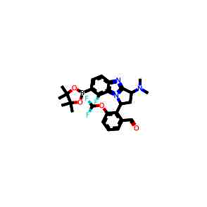 CN(C)C1CC(c2c(C=O)cccc2OC(F)F)n2c1nc1ccc(B3OC(C)(C)C(C)(C)O3)c(F)c12